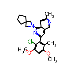 COc1cc(OC)c(Cl)c(-c2cc3cnc(C)cc3c(N3CC4(CCCC4)C3)n2)c1C